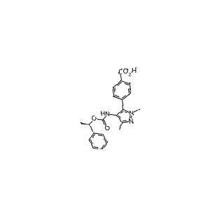 Cc1nn(C)c(-c2ccc(C(=O)O)cc2)c1NC(=O)O[C@H](C)c1ccccc1